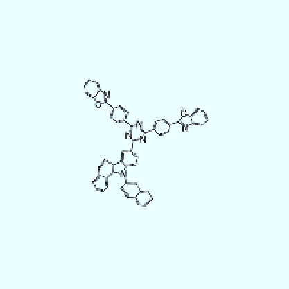 c1ccc2cc(-n3c4ccc(-c5nc(-c6ccc(-c7nc8ccccc8o7)cc6)nc(-c6ccc(-c7nc8ccccc8o7)cc6)n5)cc4c4ccc5ccccc5c43)ccc2c1